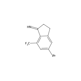 CC(C)c1cc2c(c(C(F)(F)F)c1)C(=N)CC2